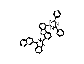 c1ccc(-c2nc(-c3ccccc3)nc(-c3cccc4sc5c(-c6nc(-c7ccc8ccccc8c7)c7ccccc7n6)cccc5c34)n2)cc1